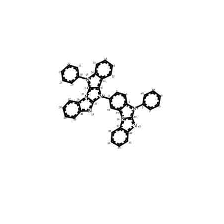 c1ccc(-n2c3ccc(-n4c5c6ccccc6n(-c6ccccc6)c5n5c6ccccc6nc45)cc3n3c4ccccc4nc23)cc1